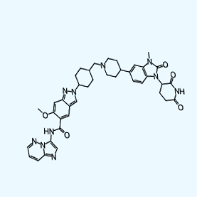 COc1cc2nn(C3CCC(CN4CCC(c5ccc6c(c5)n(C)c(=O)n6C5CCC(=O)NC5=O)CC4)CC3)cc2cc1C(=O)Nc1cnc2cccnn12